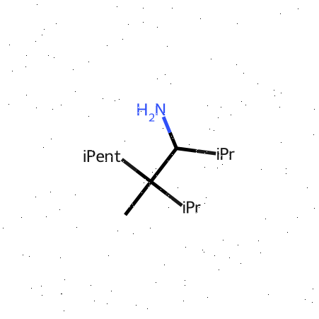 CCCC(C)C(C)(C(C)C)C(N)C(C)C